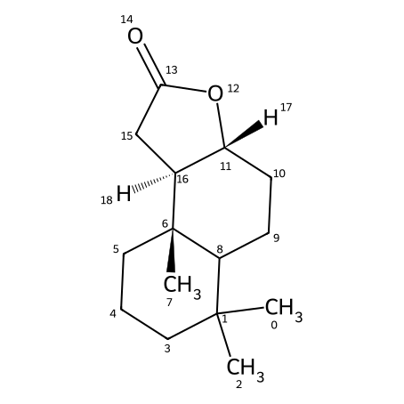 CC1(C)CCC[C@@]2(C)C1CC[C@H]1OC(=O)C[C@@H]12